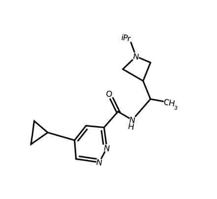 CC(NC(=O)c1cc(C2CC2)cnn1)C1CN(C(C)C)C1